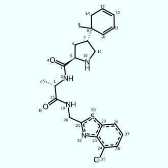 C[C@H](NC(=O)[C@H]1C[C@H](C2(C)C=CC=CC2)CN1)C(=O)NCc1nc2c(Cl)cccc2s1